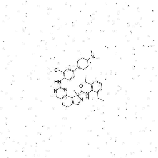 CCc1cccc(CC)c1NC(=O)[N+]1(C)N=CC2=C1c1nc(Nc3ccc(N4CCC(N(C)C)CC4)cc3Cl)ncc1CC2